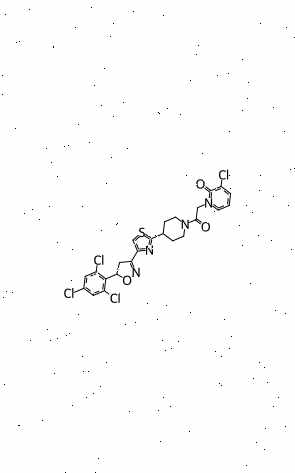 O=C(Cn1cccc(Cl)c1=O)N1CCC(c2nc(C3=NOC(c4c(Cl)cc(Cl)cc4Cl)C3)cs2)CC1